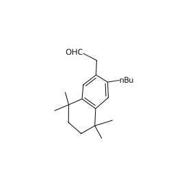 CCCCc1cc2c(cc1CC=O)C(C)(C)CCC2(C)C